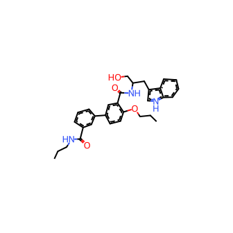 CCCNC(=O)c1cccc(-c2ccc(OCCC)c(C(=O)NC(CO)Cc3c[nH]c4ccccc34)c2)c1